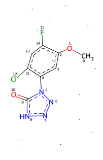 COc1cc(-n2nn[nH]c2=O)c(Cl)cc1F